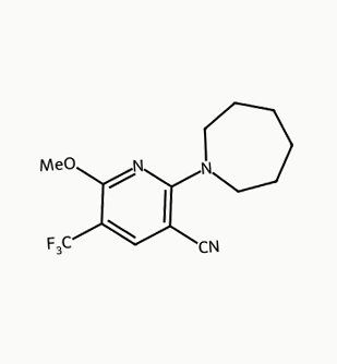 COc1nc(N2CCCCCC2)c(C#N)cc1C(F)(F)F